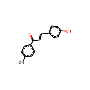 O=Nc1ccc(C(=O)/C=C/c2ccc(O)cc2)cc1